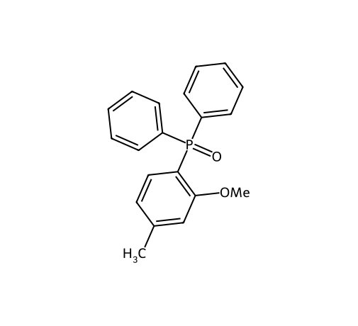 COc1cc(C)ccc1P(=O)(c1ccccc1)c1ccccc1